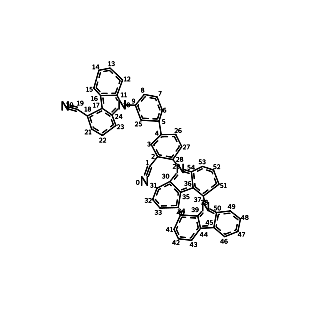 N#Cc1cc(-c2cccc(-n3c4ccccc4c4c(C#N)cccc43)c2)ccc1-n1c2ccccc2c2c(-n3c4ccccc4c4ccccc43)cccc21